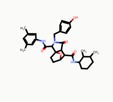 Cc1cc(C)cc(NC(=O)C2N(Cc3ccc(O)cc3)C(=O)C3C(C(=O)NC4CCCC(C)C4C)C4CCC32O4)c1